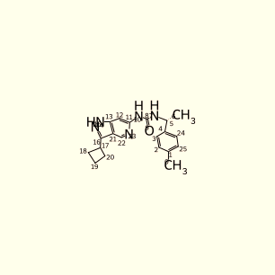 Cc1ccc([C@@H](C)NC(=O)Nc2cc3[nH]nc(C4CCC4)c3cn2)cc1